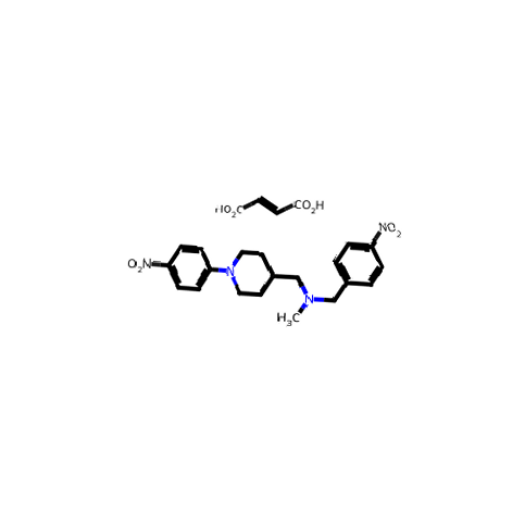 CN(Cc1ccc([N+](=O)[O-])cc1)CC1CCN(c2ccc([N+](=O)[O-])cc2)CC1.O=C(O)C=CC(=O)O